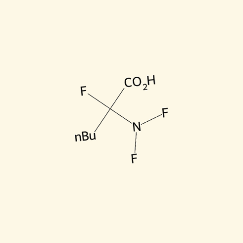 CCCCC(F)(C(=O)O)N(F)F